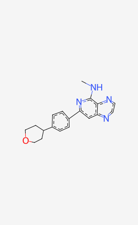 CNc1nc(-c2ccc(C3CCOCC3)cc2)cc2nccnc12